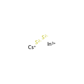 [Cs+].[In+3].[S-2].[S-2]